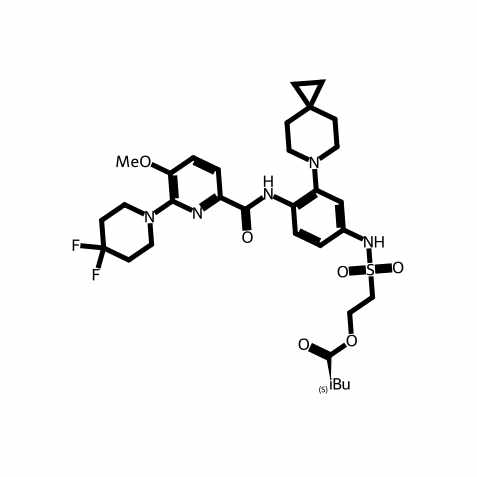 CC[C@H](C)C(=O)OCCS(=O)(=O)Nc1ccc(NC(=O)c2ccc(OC)c(N3CCC(F)(F)CC3)n2)c(N2CCC3(CC2)CC3)c1